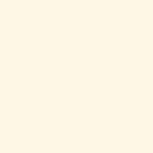 C=CC(C)CCC(C)C